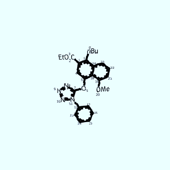 CCCCc1c(C(=O)OCC)cc(Oc2nnnn2-c2ccccc2)c2c(OC)cccc12